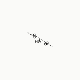 CCCCCCCOC(=O)CCCCCCCC(CCO)CCCCCC(=O)OC1CCC(CCCCC)CC1